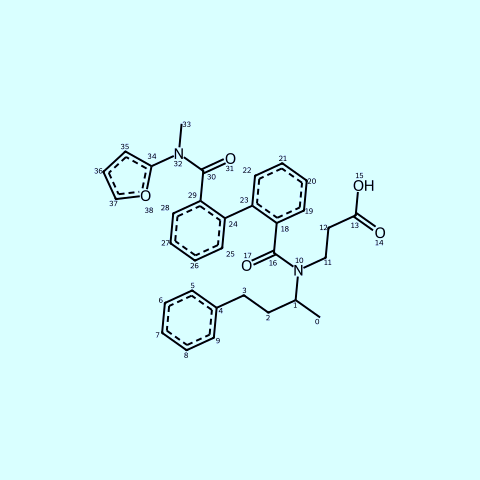 CC(CCc1ccccc1)N(CCC(=O)O)C(=O)c1ccccc1-c1ccccc1C(=O)N(C)c1ccco1